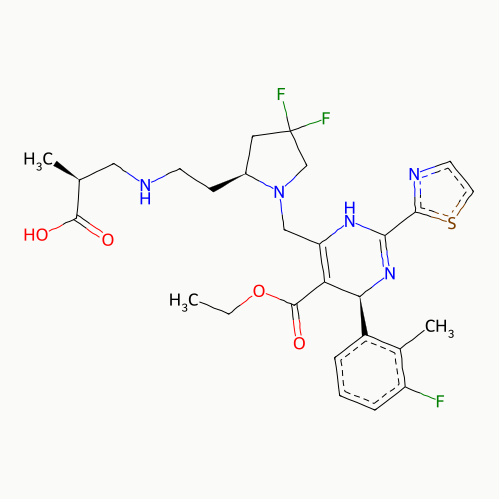 CCOC(=O)C1=C(CN2CC(F)(F)C[C@@H]2CCNC[C@H](C)C(=O)O)NC(c2nccs2)=N[C@H]1c1cccc(F)c1C